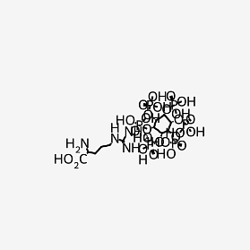 N=C(N)NCCC[C@H](N)C(=O)O.O=P(O)(O)O[C@H]1[C@H](OP(=O)(O)O)[C@@H](OP(=O)(O)O)[C@H](OP(=O)(O)O)[C@@H](OP(=O)(O)O)[C@H]1OP(=O)(O)O